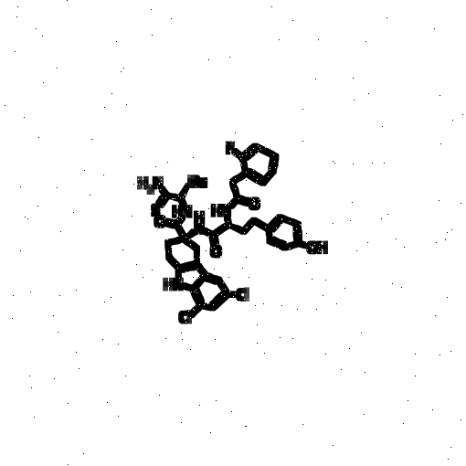 CC[C@H](C)C(NC(=O)[C@@]1(NC(=O)[C@H](CCc2ccc(O)cc2)NC(=O)Cc2ccccc2F)CCc2[nH]c3c(Cl)cc(Cl)cc3c2C1)C(N)=S